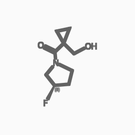 O=C(N1CC[C@@H](F)C1)C1(CO)CC1